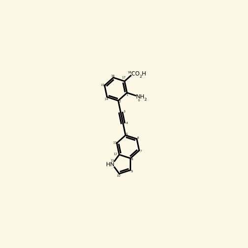 Nc1c(C#Cc2ccc3cc[nH]c3c2)cccc1C(=O)O